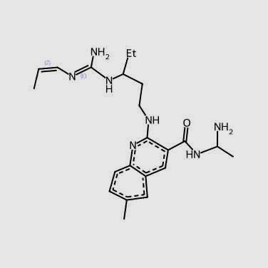 C/C=C\N=C(/N)NC(CC)CCNc1nc2ccc(C)cc2cc1C(=O)NC(C)N